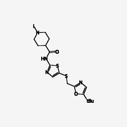 CC(C)(C)c1cnc(CSc2cnc(NC(=O)C3CCN(I)CC3)s2)o1